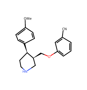 COc1ccc([C@@H]2CCNC[C@@H]2COc2cccc(C#N)c2)cc1